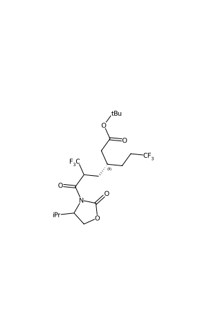 CC(C)C1COC(=O)N1C(=O)C(C[C@@H](CCC(F)(F)F)CC(=O)OC(C)(C)C)C(F)(F)F